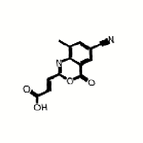 Cc1cc(C#N)cc2c(=O)oc(/C=C/C(=O)O)nc12